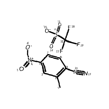 Cc1cc([N+](=O)[O-])ccc1[N+]#N.O=S(=O)([O-])C(F)(F)F